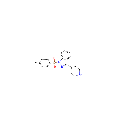 Cc1ccc(S(=O)(=O)n2nc(C3CCNCC3)c3ccccc32)cc1